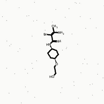 C/C(N)=C(\Br)C(=N)N[C@H]1CC[C@@H](OCCO)CC1